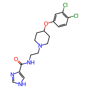 O=C(NCCN1CCC(Oc2ccc(Cl)c(Cl)c2)CC1)c1c[nH]cn1